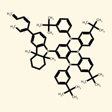 C=C/C=C\C(=C/C)c1ccc2c(c1)C1(C)CCCCC1(C)N2c1cc2c3c(c1)N(c1cccc(C(C)(C)C)c1)c1cc(C(C)(C)C)ccc1B3c1ccc(C(C)(C)C)cc1N2c1cccc(C(C)(C)C)c1